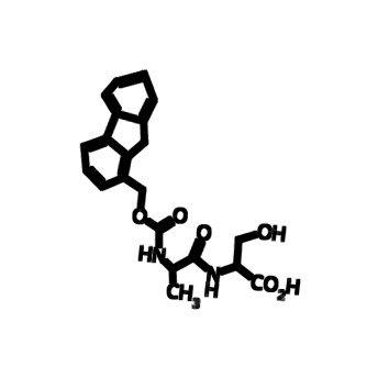 CC(NC(=O)OCc1cccc2c1Cc1ccccc1-2)C(=O)NC(CO)C(=O)O